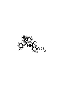 Cc1ccc(NS(=O)(=O)c2cc(C(=O)Nc3cccc([N+](=O)[O-])c3)ccc2Br)cc1